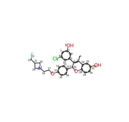 CC1=C(c2cc(O)cc(Cl)c2)[C@H](c2ccc(OCCN3CC(CF)C3)cc2)Oc2ccc(O)cc21